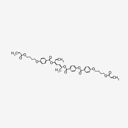 C=CC(=O)OCCCCOc1ccc(C(=O)O/C(C=C)=C/C=C(\C)OC(=O)c2ccc(OC(=O)c3ccc(OCCCCOC(=O)C=C)cc3)cc2)cc1